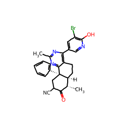 Cc1nc(-c2cnc(O)c(Br)c2)c2c(n1)[C@]1(c3ccccc3)CC(C#N)C(=O)[C@@H](C)[C@@H]1CC2